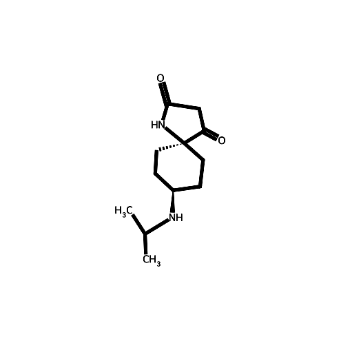 CC(C)N[C@H]1CC[C@]2(CC1)NC(=O)CC2=O